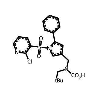 CC(C)(C)CN(Cc1cc(-c2ccccc2)n(S(=O)(=O)c2cccnc2Cl)c1)C(=O)O